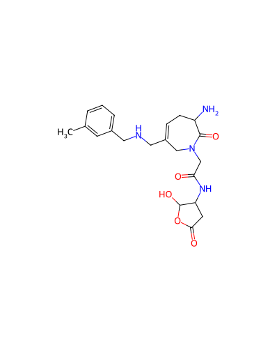 Cc1cccc(CNCC2=CCC(N)C(=O)N(CC(=O)NC3CC(=O)OC3O)C2)c1